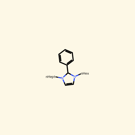 CCCCCCCN1C=CN(CCCCCC)C1c1ccccc1